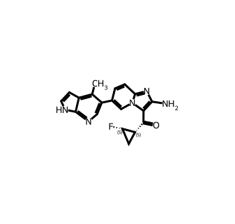 Cc1c(-c2ccc3nc(N)c(C(=O)[C@@H]4C[C@@H]4F)n3c2)cnc2[nH]ccc12